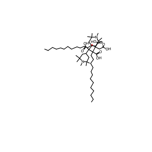 CCCCCCCCCCCCCC(CC(=O)O)(C(=O)O)C(CCCCCCCCCCCCC)(C(=O)O)C(C(=O)O)(C1CC(C)(C)N(C)C(C)(C)C1)C1CC(C)(C)N(C)C(C)(C)C1